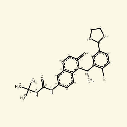 C[C@@H](c1cc(C2OCCO2)ccc1F)n1c(=O)cnc2cc(NC(=O)NC(C)(C)C)ccc21